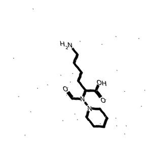 NCCCCC(C(=O)O)N(C=O)N1CCCCC1